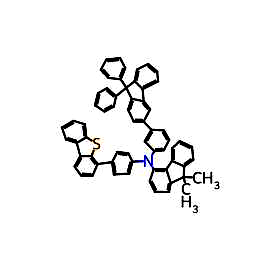 CC1(C)c2ccccc2-c2c(N(c3ccc(-c4cccc5c4sc4ccccc45)cc3)c3cccc(-c4ccc5c(c4)-c4ccccc4C5(c4ccccc4)c4ccccc4)c3)cccc21